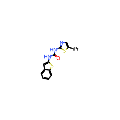 CC(C)c1cnc(NC(=O)Nc2cc3ccccc3s2)s1